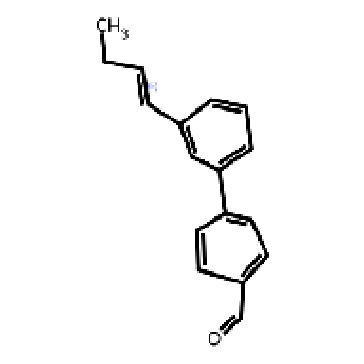 CC/C=C/c1cccc(-c2ccc(C=O)cc2)c1